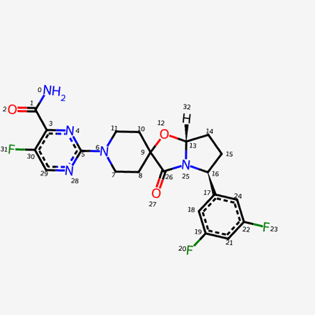 NC(=O)c1nc(N2CCC3(CC2)O[C@@H]2CC[C@@H](c4cc(F)cc(F)c4)N2C3=O)ncc1F